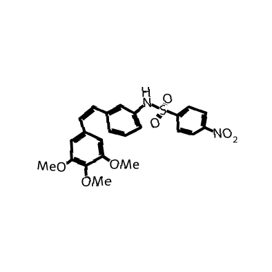 COc1cc(/C=C\c2cccc(NS(=O)(=O)c3ccc([N+](=O)[O-])cc3)c2)cc(OC)c1OC